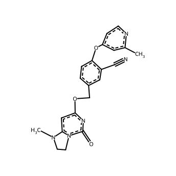 Cc1cc(Oc2ccc(COc3cc4n(c(=O)n3)CCN4C)cc2C#N)ccn1